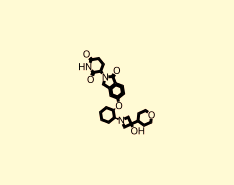 O=C1CCC(N2Cc3cc(O[C@H]4CCCC[C@@H]4N4CC(O)(C5CCOCC5)C4)ccc3C2=O)C(=O)N1